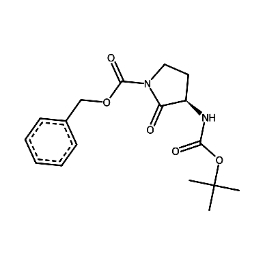 CC(C)(C)OC(=O)N[C@@H]1CCN(C(=O)OCc2ccccc2)C1=O